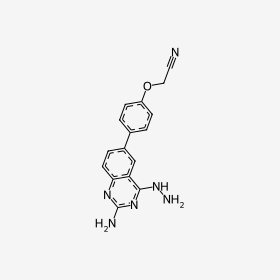 N#CCOc1ccc(-c2ccc3nc(N)nc(NN)c3c2)cc1